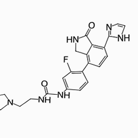 O=C(NCCN1CCCC1)Nc1ccc(-c2ccc(-c3ncc[nH]3)c3c2CNC3=O)c(F)c1